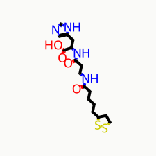 O=C(CCCCC1CCSS1)NCCC(=O)NC(Cc1cnc[nH]1)C(=O)O